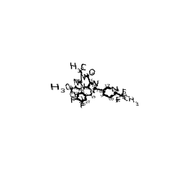 CCN1C(=O)c2nc(-c3ccc(C(C)(F)F)nc3)n(Cc3ccc(F)c(F)c3)c2N2C[C@@H](C(C)C)N=C12